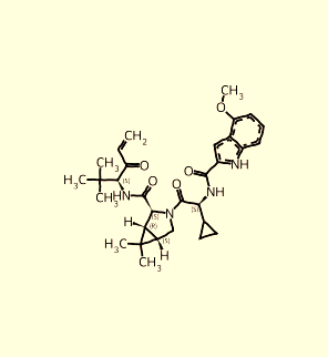 C=CC(=O)[C@@H](NC(=O)[C@@H]1[C@@H]2[C@H](CN1C(=O)[C@@H](NC(=O)c1cc3c(OC)cccc3[nH]1)C1CC1)C2(C)C)C(C)(C)C